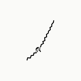 CCCCCCCCCCCCCCCCn1cc[n+](CCCCCCC)c1C